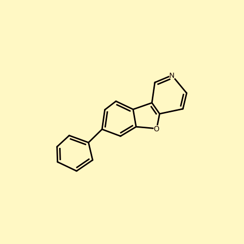 c1ccc(-c2ccc3c(c2)oc2ccncc23)cc1